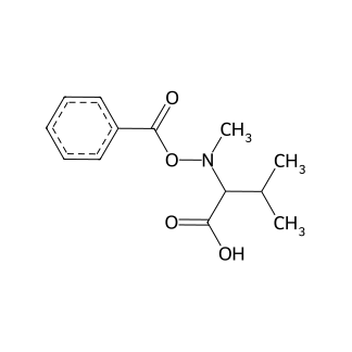 CC(C)C(C(=O)O)N(C)OC(=O)c1ccccc1